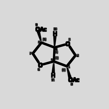 CC(=O)O[C@H]1CO[C@H]2[C@@H]1OC[C@@H]2OC(C)=O